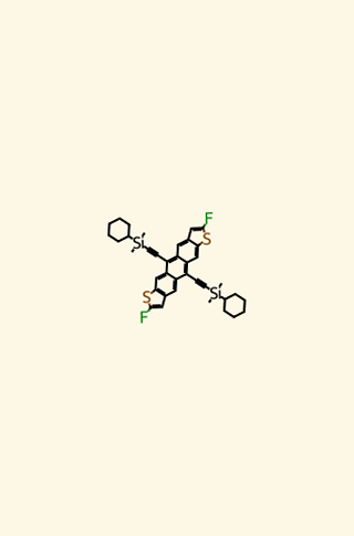 C[Si](C)(C#Cc1c2cc3cc(F)sc3cc2c(C#C[Si](C)(C)C2CCCCC2)c2cc3cc(F)sc3cc12)C1CCCCC1